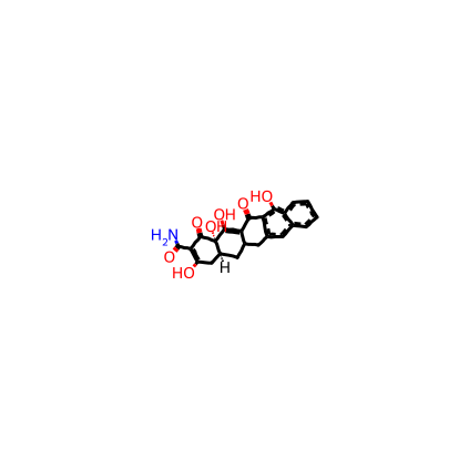 NC(=O)C1=C(O)C[C@@H]2CC3Cc4cc5ccccc5c(O)c4C(=O)C3=C(O)[C@]2(O)C1=O